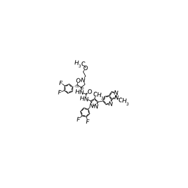 COCCN1C[C@@H](NC(=O)Nc2c(C)c(-c3cnc4c(cnn4C)c3)nn2-c2ccc(F)c(F)c2)[C@H](c2ccc(F)c(F)c2)O1